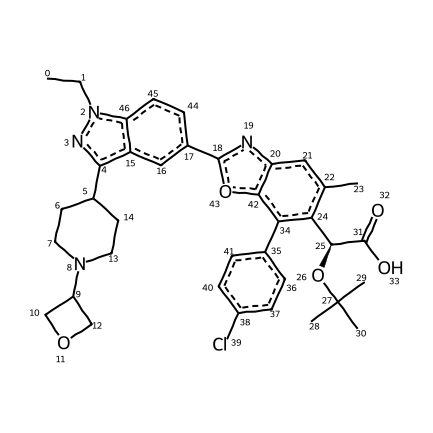 CCn1nc(C2CCN(C3COC3)CC2)c2cc(-c3nc4cc(C)c([C@H](OC(C)(C)C)C(=O)O)c(-c5ccc(Cl)cc5)c4o3)ccc21